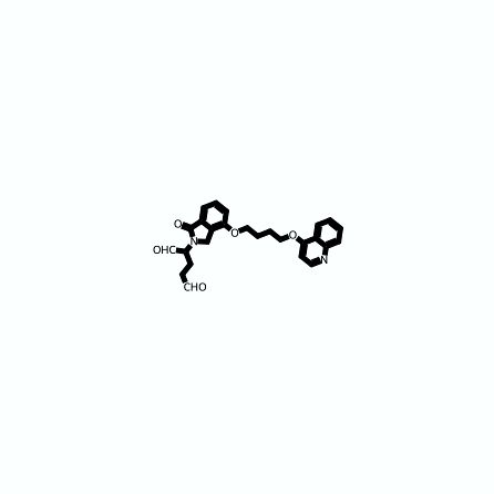 O=CCCC(C=O)N1Cc2c(OCCCCOc3ccnc4ccccc34)cccc2C1=O